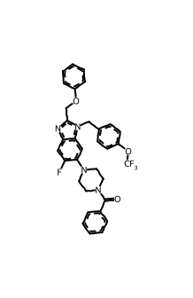 O=C(c1ccccc1)N1CCN(c2cc3c(cc2F)nc(COc2ccccc2)n3Cc2ccc(OC(F)(F)F)cc2)CC1